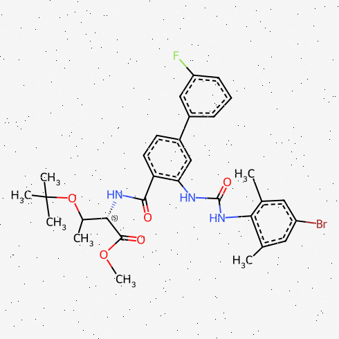 COC(=O)[C@@H](NC(=O)c1ccc(-c2cccc(F)c2)cc1NC(=O)Nc1c(C)cc(Br)cc1C)C(C)OC(C)(C)C